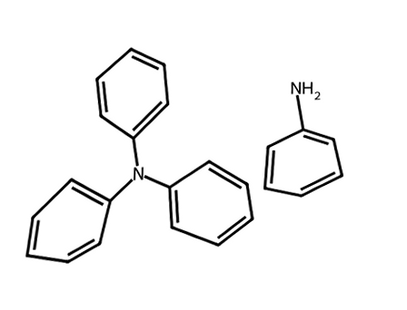 Nc1ccccc1.c1ccc(N(c2ccccc2)c2ccccc2)cc1